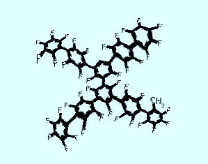 Cc1c(F)c(F)c(F)c(F)c1-c1c(F)c(F)c(-c2c(F)c(-c3c(F)c(-c4c(F)c(F)c(-c5c(F)c(F)c(F)c(F)c5F)c(F)c4F)cc(-c4c(F)c(F)c(-c5c(F)c(F)c(F)c(F)c5F)c(F)c4F)c3F)c(F)c(-c3c(F)c(F)c(-c4c(F)c(F)c(F)c(F)c4F)c(F)c3F)c2F)c(F)c1F